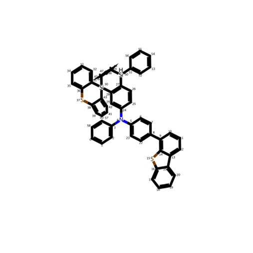 c1ccc(N(c2ccc(-c3cccc4c3sc3ccccc34)cc2)c2ccc3c(c2)[Si]2(c4ccccc4Sc4ccccc42)c2ccccc2[SiH]3c2ccccc2)cc1